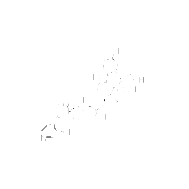 CC[C@@H]1C2C[C@H](O)CC[C@]2(C)C2CC[C@@]3(C)C(CC[C@@H]3[C@H](C)CCO[P@]3(=O)OCC[C@H](c4ccncc4Cl)O3)C2[C@@H]1O